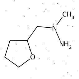 CN(N)CC1CCCO1